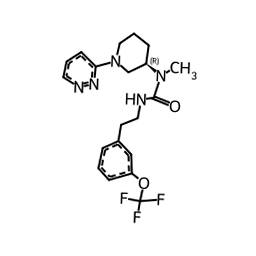 CN(C(=O)NCCc1cccc(OC(F)(F)F)c1)[C@@H]1CCCN(c2cccnn2)C1